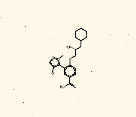 Cn1ncc(Cl)c1-c1cc(C(N)=O)ccc1OC[C@H](N)CC1CCCCC1